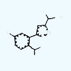 CC(C)c1cc(-c2cc(F)ccc2C(C)C)sn1